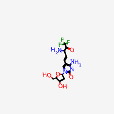 Nc1nc(=O)n([C@H]2CC(O)[C@@H](CO)O2)cc1C=CC(N)C(=O)C(F)(F)F